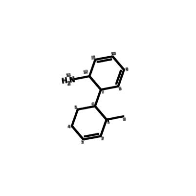 CC1C=CCCC1C1C=CC=CC1N